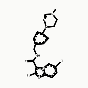 CCc1nc2ccc(Cl)cn2c1C(=O)NCc1ccc(N2CCN(C)C=N2)cc1